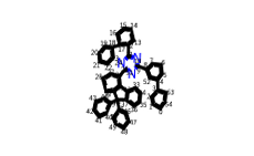 c1ccc(-c2cccc(-c3nc(-c4ccccc4-c4ccccc4)nc(-c4cccc5c4-c4ccccc4C5(c4ccccc4)c4ccccc4)n3)c2)cc1